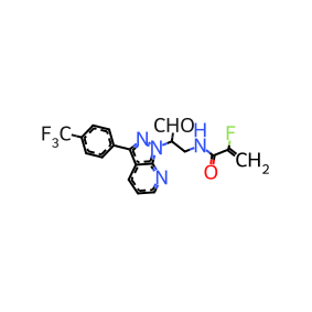 C=C(F)C(=O)NCC(C=O)n1nc(-c2ccc(C(F)(F)F)cc2)c2cccnc21